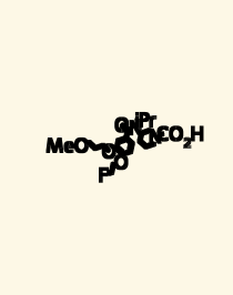 COCCCOc1cc(C(=O)N(C(C)C)[C@@H]2CCCN(C(=O)O)C2)ccc1OCCF